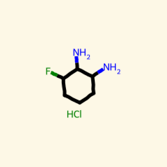 Cl.NC1CCCC(F)C1N